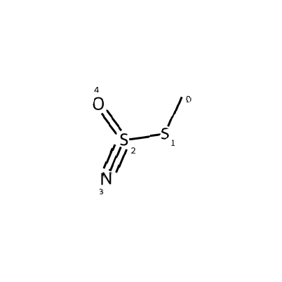 CSS(#N)=O